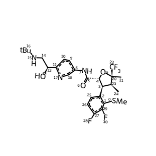 CSc1c([C@H]2[C@H](C(=O)Nc3ccc([C@@H](O)CNC(C)(C)C)nc3)O[C@@](C)(C(F)(F)F)[C@H]2C)ccc(F)c1F